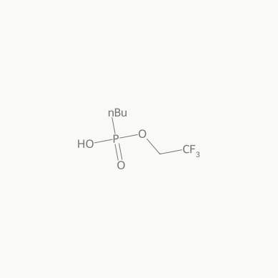 CCCCP(=O)(O)OCC(F)(F)F